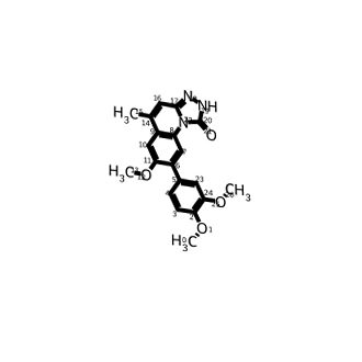 COc1ccc(-c2cc3c(cc2OC)c(C)cc2n[nH]c(=O)n23)cc1OC